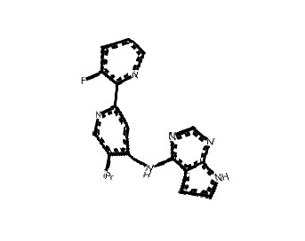 CC(C)c1cnc(-c2ncccc2F)cc1Nc1ncnc2[nH]ccc12